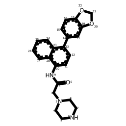 O=C(CN1CCNCC1)Nc1ccc(-c2ccc3c(c2)OCO3)c2ccccc12